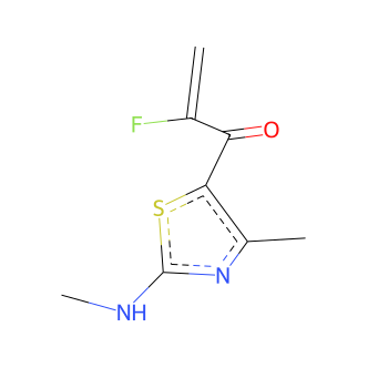 C=C(F)C(=O)c1sc(NC)nc1C